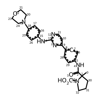 CC1(C(=O)Nc2ccc(-c3ccnc(Nc4ccc(N5CCOCC5)cc4)n3)cc2)CCCN1C(=O)O